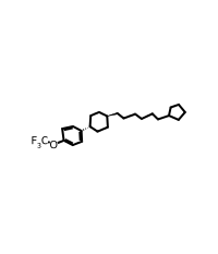 FC(F)(F)Oc1ccc([C@H]2CC[C@H](CCCCCCC3CCCC3)CC2)cc1